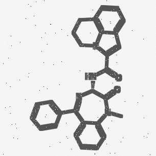 CN1C(=O)[C@@H](NC(=O)c2cc3cccc4c3n2CCC4)N=C(c2ccccc2)c2ccccc21